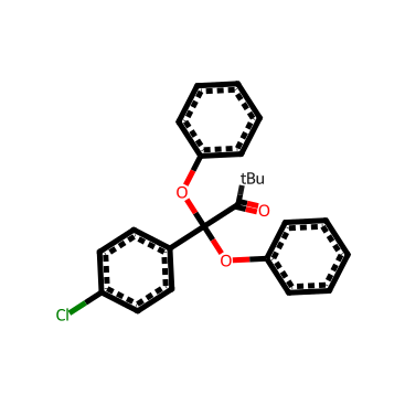 CC(C)(C)C(=O)C(Oc1ccccc1)(Oc1ccccc1)c1ccc(Cl)cc1